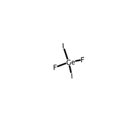 [F][Ge]([F])([I])[I]